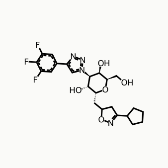 OC[C@H]1O[C@H](CC2CC(C3CCCC3)=NO2)[C@H](O)[C@@H](n2cc(-c3cc(F)c(F)c(F)c3)nn2)[C@H]1O